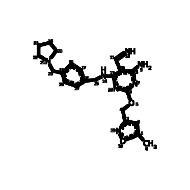 Cc1cc(COc2nc(N)c(C=N)c(NCc3ccc(CN4CCCC4)cc3)n2)no1